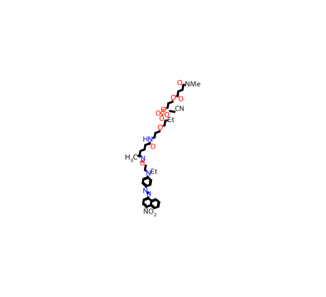 CCC(COCCCNC(=O)CCC/C(C)=N/OCCN(CC)c1ccc(/N=N/c2ccc([N+](=O)[O-])c3ccccc23)cc1)OP(=O)(OCCC#N)OCCCOC(=O)CCC(=O)NC